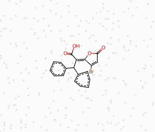 O=C1C=C(Br)/C(=C(/C(=O)O)C(c2ccccc2)c2ccccc2)O1